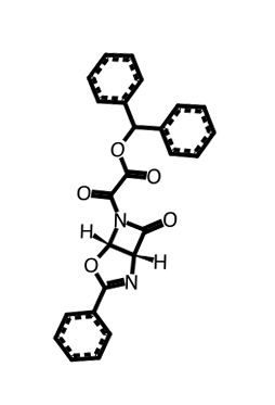 O=C(OC(c1ccccc1)c1ccccc1)C(=O)N1C(=O)[C@@H]2N=C(c3ccccc3)O[C@@H]21